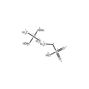 CCCCCCCCCC[N+](C)(C)CCCCCCCCCC.CCS(=O)(=O)O